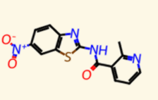 Cc1ncccc1C(=O)Nc1nc2ccc([N+](=O)[O-])cc2s1